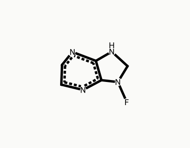 FN1CNc2nccnc21